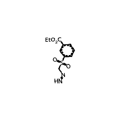 CCOC(=O)c1cccc(S(=O)(=O)CN=N)c1